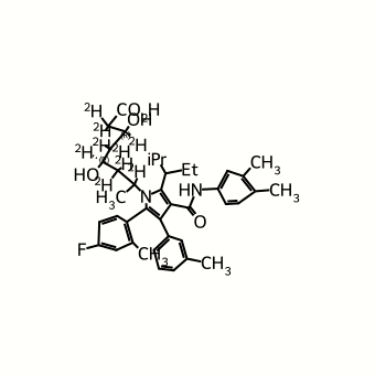 [2H]C(C)(n1c(-c2ccc(F)cc2C)c(-c2cccc(C)c2)c(C(=O)Nc2ccc(C)c(C)c2)c1C(CC)C(C)C)C([2H])([2H])[C@@]([2H])(O)C([2H])([2H])[C@@]([2H])(O)C([2H])([2H])C(=O)O